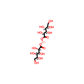 O=C(OBOC(=O)[C@H](O)[C@@H](O)[C@H](O)[C@H](O)CO)[C@H](O)[C@@H](O)[C@H](O)[C@H](O)CO